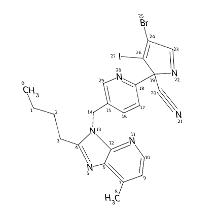 CCCCc1nc2c(C)ccnc2n1Cc1ccc(C2(C#N)N=CC(Br)=C2I)nc1